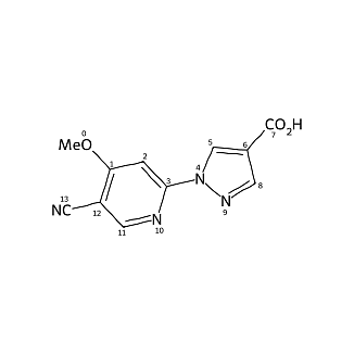 COc1cc(-n2cc(C(=O)O)cn2)ncc1C#N